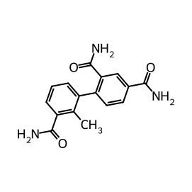 Cc1c(C(N)=O)cccc1-c1ccc(C(N)=O)cc1C(N)=O